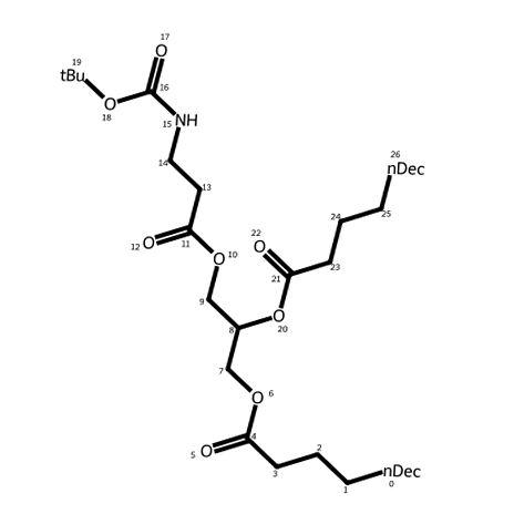 CCCCCCCCCCCCCC(=O)OCC(COC(=O)CCNC(=O)OC(C)(C)C)OC(=O)CCCCCCCCCCCCC